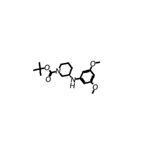 COc1cc(N[C@@H]2CCCN(C(=O)OC(C)(C)C)C2)cc(OC)c1